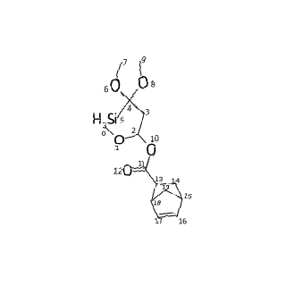 COC(CC([SiH3])(OC)OC)OC(=O)C1CC2C=CC1C2